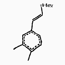 CCCCCCC=Cc1ccc(C)c(C)c1